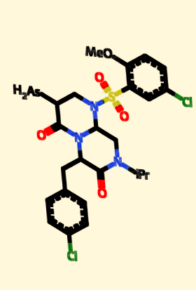 COc1ccc(Cl)cc1S(=O)(=O)N1CC([AsH2])C(=O)N2C(Cc3ccc(Cl)cc3)C(=O)N(C(C)C)CC21